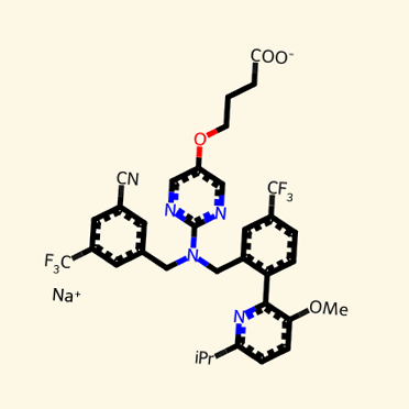 COc1ccc(C(C)C)nc1-c1ccc(C(F)(F)F)cc1CN(Cc1cc(C#N)cc(C(F)(F)F)c1)c1ncc(OCCCC(=O)[O-])cn1.[Na+]